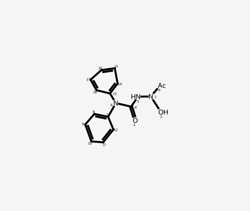 CC(=O)N(O)NC(=O)N(c1ccccc1)c1ccccc1